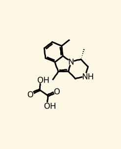 Cc1c2n(c3c(C)cccc13)[C@H](C)CNC2.O=C(O)C(=O)O